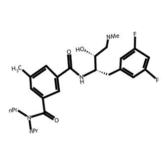 CCCN(CCC)C(=O)c1cc(C)cc(C(=O)N[C@@H](Cc2cc(F)cc(F)c2)[C@H](O)CNC)c1